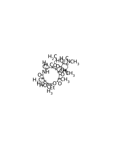 C=CCO[C@]1(C)C[C@@H](C)NC(=O)[C@H](C)[C@@H](O)[C@](C)(O)[C@@H](CC)OC(=O)[C@H](C)C(=O)[C@H](C)[C@H]1O[C@@H]1O[C@H](C)C[C@H](N(C)C)[C@H]1O